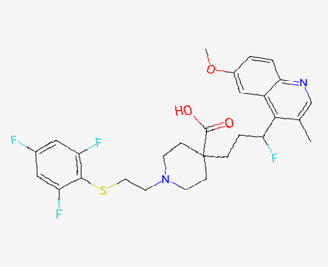 COc1ccc2ncc(C)c(C(F)CCC3(C(=O)O)CCN(CCSc4c(F)cc(F)cc4F)CC3)c2c1